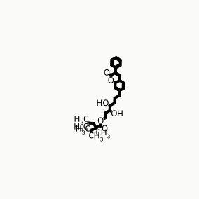 CC(C)CC(C)(C(=O)OCCC(O)C(O)CCCC1=CC2OC(=O)C(c3ccccc3)=CC2C=C1)C(C)C